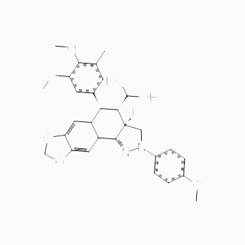 COc1ccc(N2C[C@@H]3C(=N2)C2C=C4OCOC4=CC2[C@@H](c2cc(C)c(OC)c(OC)c2)[C@H]3C(O)O)cc1